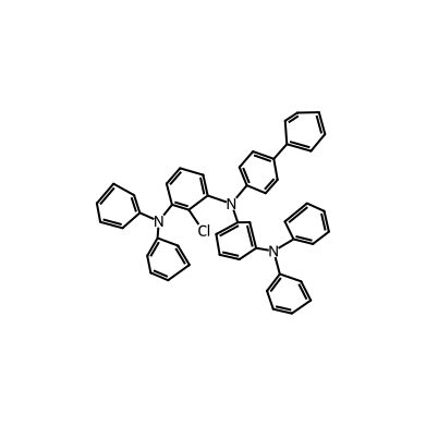 Clc1c(N(c2ccccc2)c2ccccc2)cccc1N(c1ccc(-c2ccccc2)cc1)c1cccc(N(c2ccccc2)c2ccccc2)c1